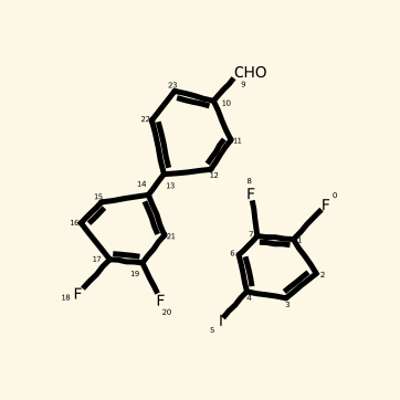 Fc1ccc(I)cc1F.O=Cc1ccc(-c2ccc(F)c(F)c2)cc1